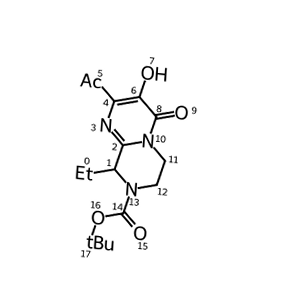 CCC1c2nc(C(C)=O)c(O)c(=O)n2CCN1C(=O)OC(C)(C)C